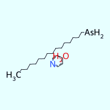 CCCCCCCCCCCCCCCC[AsH2].O.c1ccncc1